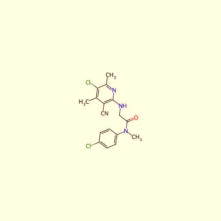 Cc1nc(NCC(=O)N(C)c2ccc(Cl)cc2)c(C#N)c(C)c1Cl